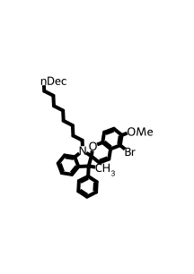 CCCCCCCCCCCCCCCCCCN1c2ccccc2C(C)(c2ccccc2)C12C=Cc1c(ccc(OC)c1Br)O2